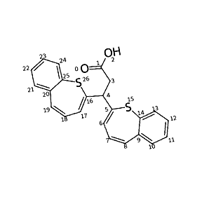 O=C(O)CC(C1=CC=Cc2ccccc2S1)C1=CC=Cc2ccccc2S1